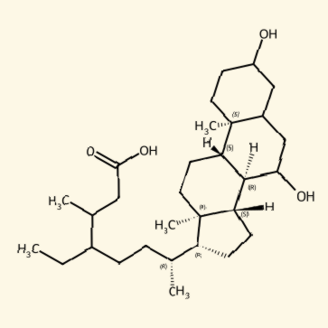 CCC(CC[C@@H](C)[C@H]1CC[C@H]2[C@@H]3C(O)CC4CC(O)CC[C@]4(C)[C@H]3CC[C@]12C)C(C)CC(=O)O